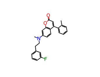 Cc1ccccc1-c1cc(=O)oc2cc(N(C)CCc3cccc(F)c3)ccc12